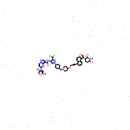 O=C1CC[C@@H](c2coc3ccc4c(C#CCOC5CCN(CC6CCC(n7cc(NC(=O)c8cnn9ccc(N%10C[C@H]%11C[C@@H]%10CO%11)nc89)c(C(F)F)n7)CC6)CC5)cccc4c23)C(=O)N1